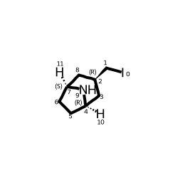 IC[C@H]1C[C@H]2CC[C@@H](C1)N2